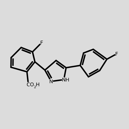 O=C(O)c1cccc(F)c1-c1cc(-c2ccc(F)cc2)[nH]n1